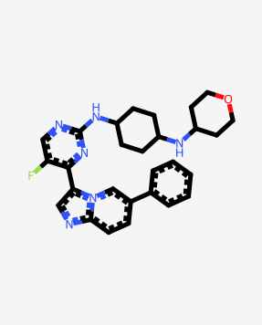 Fc1cnc(NC2CCC(NC3CCOCC3)CC2)nc1-c1cnc2ccc(-c3ccccc3)cn12